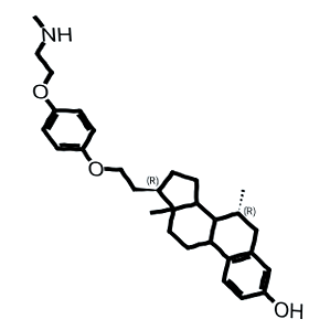 CNCCOc1ccc(OCC[C@H]2CCC3C4C(CCC32C)c2ccc(O)cc2C[C@H]4C)cc1